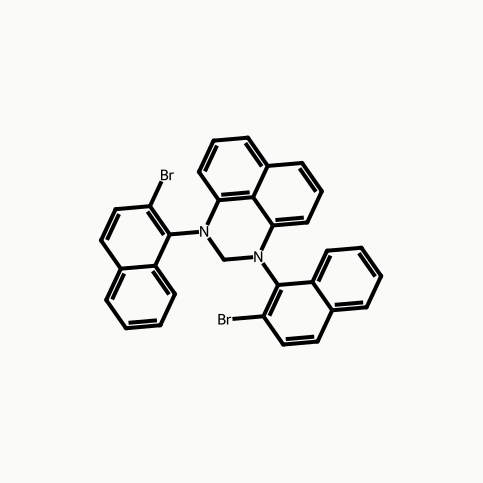 Brc1ccc2ccccc2c1N1CN(c2c(Br)ccc3ccccc23)c2cccc3cccc1c23